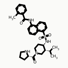 Cc1ccccc1C(=O)Nc1cccc2c(S(=O)(=O)N[C@H]3CCN(C(=O)[C@@H]4CCCN4)C[C@H]3C(C)C)cccc12